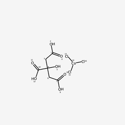 O=C(O)CC(O)(CC(=O)O)C(=O)O.[Cl][Co]([Cl])[Cl]